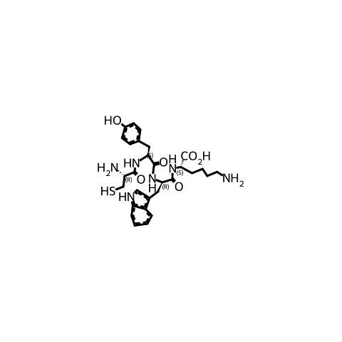 NCCCC[C@H](NC(=O)[C@@H](Cc1c[nH]c2ccccc12)NC(=O)[C@H](Cc1ccc(O)cc1)NC(=O)[C@@H](N)CS)C(=O)O